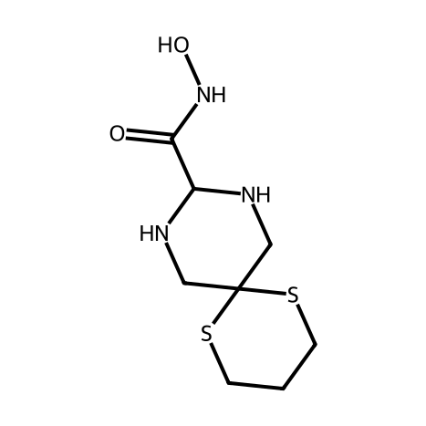 O=C(NO)C1NCC2(CN1)SCCCS2